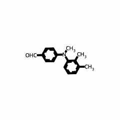 Cc1cccc(N(C)c2ccc(C=O)cc2)c1C